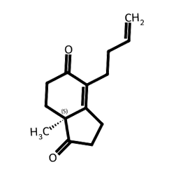 C=CCCC1=C2CCC(=O)[C@@]2(C)CCC1=O